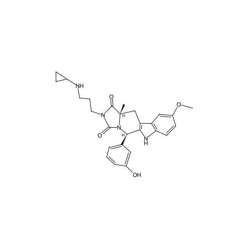 COc1ccc2[nH]c3c(c2c1)C[C@@]1(C)C(=O)N(CCCNC2CC2)C(=O)N1[C@@H]3c1cccc(O)c1